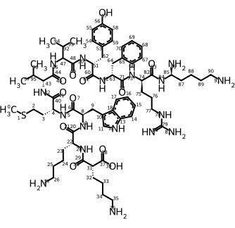 CSCC[C@@H](NC(=O)[C@@H](Cc1c[nH]c2ccccc12)NC(=O)[C@@H](CCCCN)NC(=O)[C@@H](CCCCN)C(=O)O)C(=O)N[C@@H](C(=O)NC(C(=O)N[C@H](Cc1ccc(O)cc1)C(=O)N[C@H](Cc1ccccc1)C(=O)N[C@H](CCCNC(=N)N)C(=O)N[C@@H](N)CCCCN)C(C)C)C(C)C